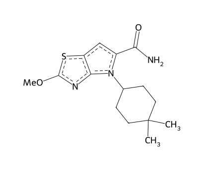 COc1nc2c(cc(C(N)=O)n2C2CCC(C)(C)CC2)s1